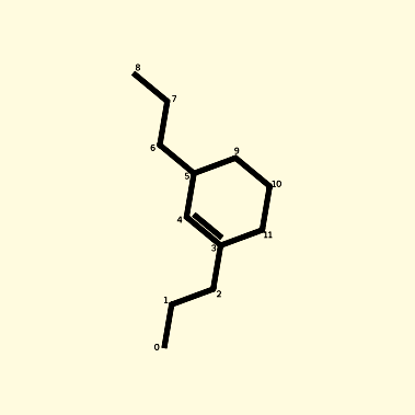 CCCC1=CC(CCC)CCC1